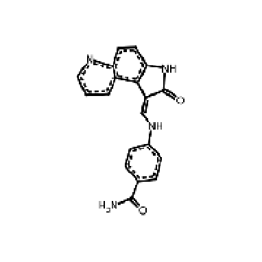 NC(=O)c1ccc(N/C=C2\C(=O)Nc3ccc4ncccc4c32)cc1